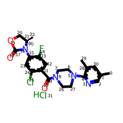 Cc1cnc(N2CCN(C(=O)c3cc(F)c(N4C(=O)OC[C@H]4C)cc3Cl)CC2)c(C)c1.Cl